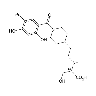 CC(C)c1cc(C(=O)N2CCC(CCN[C@@H](CO)C(=O)O)CC2)c(O)cc1O